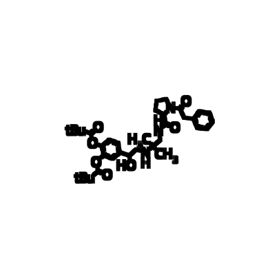 CC(C)(CNC(=O)C1CCCN1C(=O)Cc1ccccc1)NCC(O)c1ccc(OC(=O)C(C)(C)C)c(OC(=O)C(C)(C)C)c1